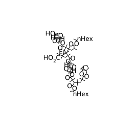 CCCCCCC(C)OC(=O)C(C)CC(C)(C)C(C)(CC(C)(C)C(C)(CC(C)(C)C(C)(CC)C(=O)O)C(=O)O[C@H]1CO[C@@H]2[C@H]1OC[C@H]2OC(=O)C(C)(C)C(C(=O)OC(C)CCCCCC)C(C)(C)CC(C)(C)C(=O)OC1CC2CCC1(C)C2(C)C)C(=O)O[C@@H]1CO[C@H]2[C@@H]1OC[C@@H]2O